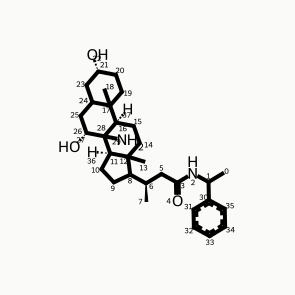 CC(NC(=O)C[C@@H](C)C1CC[C@@H]2C1(C)CC[C@@H]1C3(C)CC[C@@H](O)CC3C[C@@H](O)C12N)c1ccccc1